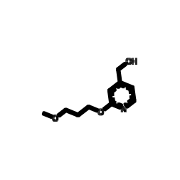 COCCCOc1cc(CO)ccn1